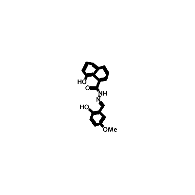 COc1ccc(O)c(C=NNC(=O)c2cccc3cccc(O)c23)c1